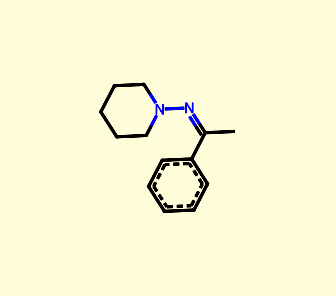 CC(=NN1CCCCC1)c1ccccc1